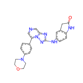 O=C1Cc2cc(Nc3nc4cncc(-c5ccc(N6CCOCC6)cc5)n4n3)ccc2N1